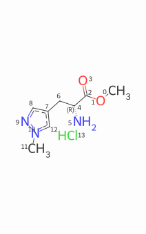 COC(=O)[C@H](N)Cc1cnn(C)c1.Cl